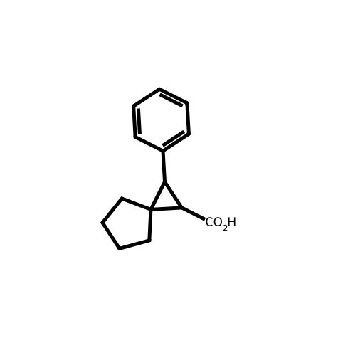 O=C(O)C1C(c2ccccc2)C12CCCC2